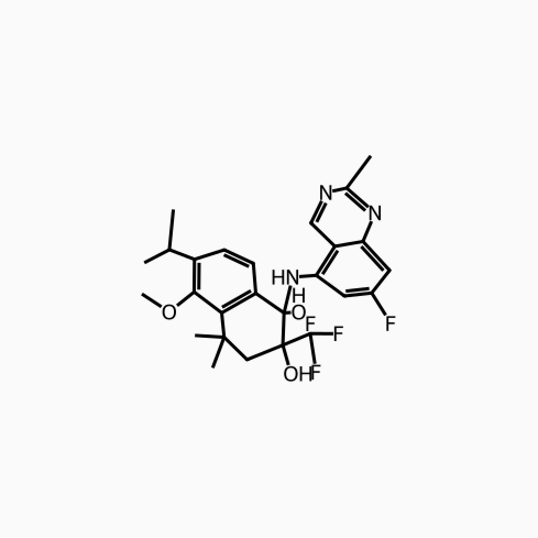 COc1c(C(C)C)ccc2c1C(C)(C)CC(O)(C(F)(F)F)C2(O)Nc1cc(F)cc2nc(C)ncc12